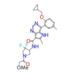 COCC(=O)N1CC(NC(=O)c2c(C)[nH]c3c(-c4cc(C)ccc4OCC4CC4)ncnc23)C(F)(F)C1